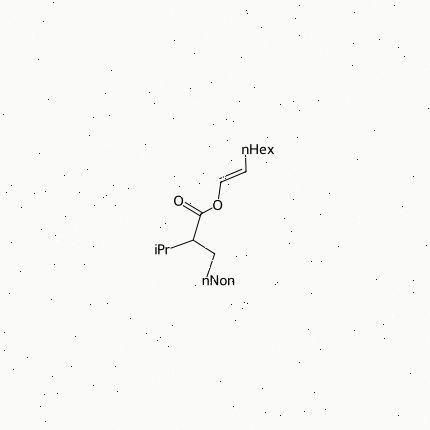 CCCCCCC=COC(=O)C(CCCCCCCCCC)C(C)C